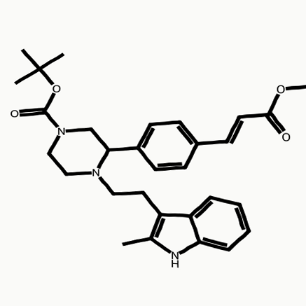 COC(=O)C=Cc1ccc(C2CN(C(=O)OC(C)(C)C)CCN2CCc2c(C)[nH]c3ccccc23)cc1